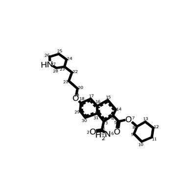 NC(=O)c1c(C(=O)OC2CCCCC2)ccc2cc(OCCCC3CCCNC3)ccc12